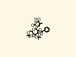 Cc1cn(C2OC3COC(C)(C)O[C@H]3C3OC(C)(C)O[C@@H]3C2OC(=O)c2ccccc2)c(=O)[nH]c1=O